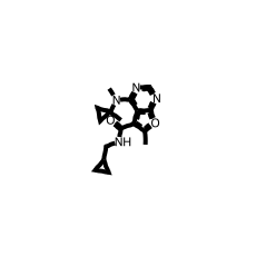 Cc1oc2ncnc(N(C)C3(C)CC3)c2c1C(=O)NCC1CC1